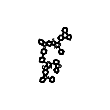 c1ccc(-c2nc(-c3ccc4c5ccccc5c5ccccc5c4c3)c3sc4cc5c6ccccc6n(-c6ccc(-c7cccc(-c8nc(-c9cccc%10oc%11ccccc%11c9%10)nc9c8oc8cc%10c%11ccccc%11n(-c%11ccccc%11)c%10cc89)c7)cc6)c5cc4c3n2)cc1